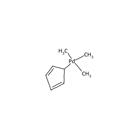 [CH3][Pd]([CH3])([CH3])[CH]1C=CC=C1